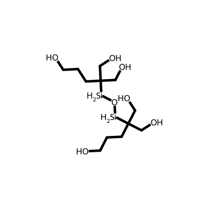 OCCCC(CO)(CO)[SiH2]O[SiH2]C(CO)(CO)CCCO